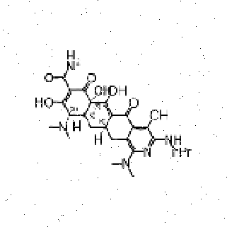 CCCNc1nc(N(C)C)c2c(c1O)C(=O)C1=C(O)[C@]3(O)C(=O)C(C(N)=O)=C(O)[C@@H](N(C)C)[C@@H]3C[C@@H]1C2